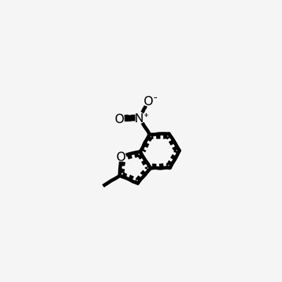 Cc1cc2cccc([N+](=O)[O-])c2o1